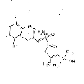 Cc1sc([S@@](N)(=O)=NC(=O)Cc2c(C(C)C)ccc(F)c2C(C)C)cc1C(C)(C)O